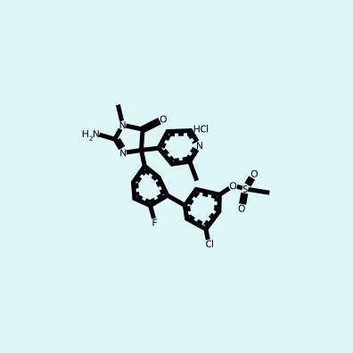 Cc1cc(C2(c3ccc(F)c(-c4cc(Cl)cc(OS(C)(=O)=O)c4)c3)N=C(N)N(C)C2=O)ccn1.Cl